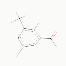 CC(=O)c1cc(Cl)cc(C(F)(F)F)c1Cl